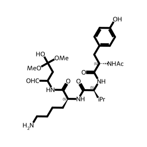 COC(O)(CC(C=O)NC(=O)[C@H](CCCCN)NC(=O)[C@@H](NC(=O)[C@H](Cc1ccc(O)cc1)NC(C)=O)C(C)C)OC